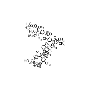 CC(C)OC(=O)c1cc(-n2c(=O)cc(C(F)(F)F)n(C)c2=O)ccc1Cl.CC1COc2ccccc2N1C(=O)C(Cl)Cl.CCc1cccc(C)c1N(C(=O)CCl)C(C)COC.CS(=O)(=O)c1cc(C(F)(F)F)ccc1C(=O)c1cnoc1C1CC1.C[S+](C)C.O=C(O)CNCP(=O)([O-])O